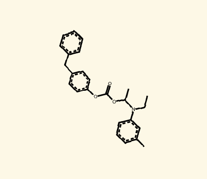 CCN(c1cccc(C)c1)C(C)OC(=O)Oc1ccc(Cc2ccccc2)cc1